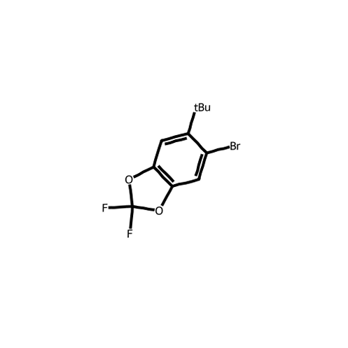 CC(C)(C)c1cc2c(cc1Br)OC(F)(F)O2